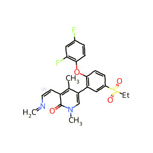 C=N/C=C\c1c(C)c(-c2cc(S(=O)(=O)CC)ccc2Oc2ccc(F)cc2F)cn(C)c1=O